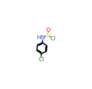 [O-][S+](Cl)Nc1ccc(Cl)cc1